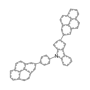 c1cc2ccc3cc(-c4ccc(-n5c6ccccc6c6cc(-c7cc8ccc9cccc%10ccc(c7)c8c9%10)ccc65)cc4)cc4ccc(c1)c2c34